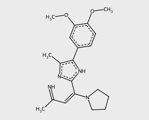 COc1ccc(-c2[nH]c(/C(=C\C(C)=N)N3CCCC3)nc2C)cc1OC